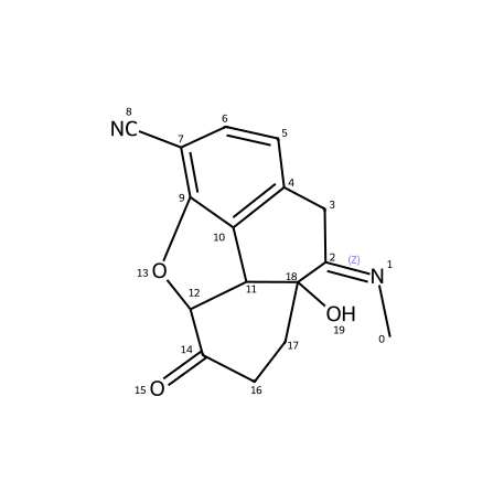 C/N=C1/Cc2ccc(C#N)c3c2C2C(O3)C(=O)CCC12O